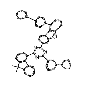 CC1(C)c2ccccc2-c2c(-c3nc(-c4cccc(-c5ccccc5)c4)nc(-c4ccc5c(c4)oc4cccc(-c6ccc(-c7ccccc7)cc6)c45)n3)cccc21